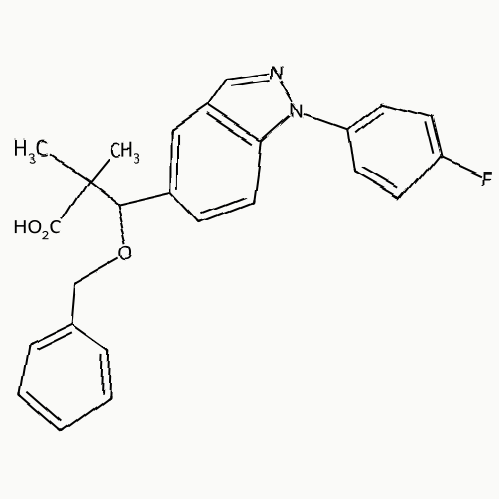 CC(C)(C(=O)O)C(OCc1ccccc1)c1ccc2c(cnn2-c2ccc(F)cc2)c1